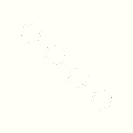 c1ccc(-c2ccc(-c3ccc(-c4ccccn4)cc3)cc2)nc1